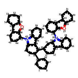 c1ccc(-c2ccc3c(c2-c2ccc4c5ccccc5n(-c5cccc6c5oc5ccccc56)c4c2)c2ccccc2n3-c2cccc3c2oc2ccccc23)cc1